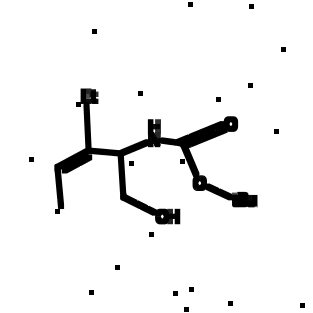 CC=C(CC)C(CO)NC(=O)OC(C)(C)C